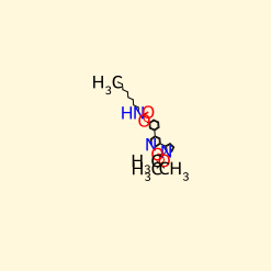 CCCCCCCCNC(=O)Oc1cccc(-c2cncc(-c3cccn3C(=O)OC(C)(C)C)c2)c1